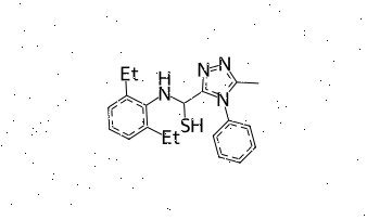 CCc1cccc(CC)c1NC(S)c1nnc(C)n1-c1ccccc1